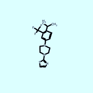 CC(C)c1ccc(N2CCN(c3nccs3)CC2)cc1C(F)(F)F